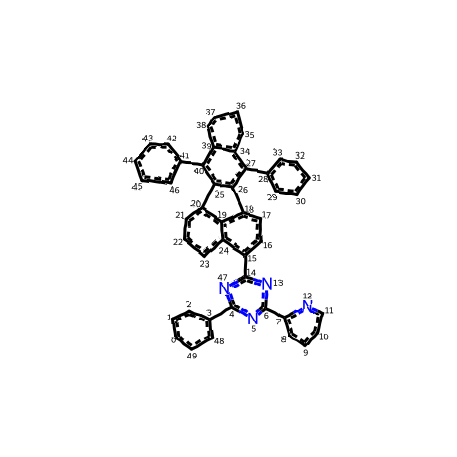 c1ccc(-c2nc(-c3ccccn3)nc(-c3ccc4c5c(cccc35)-c3c-4c(-c4ccccc4)c4ccccc4c3-c3ccccc3)n2)cc1